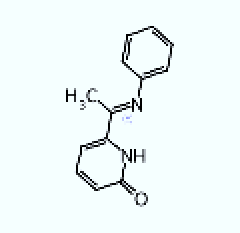 C/C(=N\c1ccccc1)c1cccc(=O)[nH]1